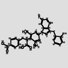 Nc1nc(-n2nc(Cc3ccccc3F)c3ncc(F)cc32)nc(N)c1N(Cc1ccc([N+](=O)[O-])cc1)C(=O)O